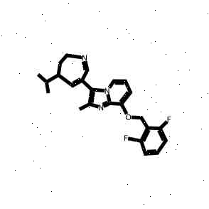 Cc1nc2c(OCc3c(F)cccc3F)cccn2c1C1=CC(C(C)C)CCN=C1